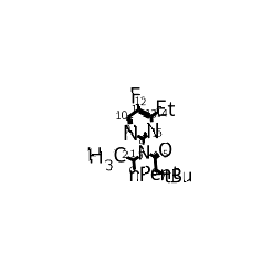 CCCCCC(C)N(C(=O)CC(C)(C)C)c1ncc(F)c(CC)n1